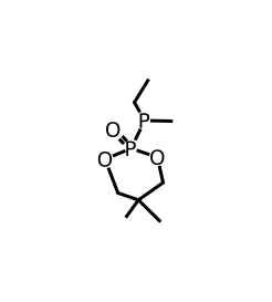 CCP(C)P1(=O)OCC(C)(C)CO1